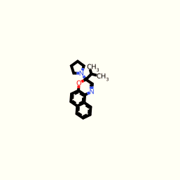 CC(C)C1(N2CCCC2)C=Nc2c(ccc3ccccc23)O1